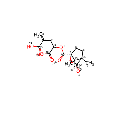 C=C(CC(OC(=O)C12CCC(C)(C(=O)O1)C2(C)C)C(=O)O)C(=O)O